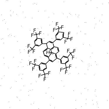 FC(F)(F)c1cc(C2=CC(c3cc(C(F)(F)F)cc(C(F)(F)F)c3)=C3C=CC4=C5C(=CC=C2[C@@H]35)C(c2cc(C(F)(F)F)cc(C(F)(F)F)c2)C=C4c2cc(C(F)(F)F)cc(C(F)(F)F)c2)cc(C(F)(F)F)c1